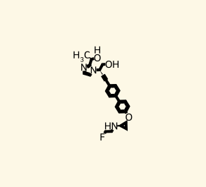 C[C@H](O)c1nccn1[C@@H](C#Cc1ccc(-c2ccc(O[C@@H]3C[C@H]3NCCF)cc2)cc1)CO